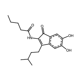 CCCCC(=O)NC1=C(CCC(C)C)c2cc(O)c(O)cc2C1=O